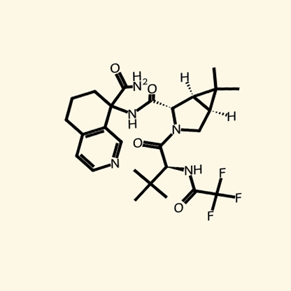 CC(C)(C)[C@H](NC(=O)C(F)(F)F)C(=O)N1C[C@H]2[C@@H]([C@H]1C(=O)NC1(C(N)=O)CCCc3ccncc31)C2(C)C